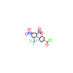 O=C(Cl)c1ccc(-c2c([N+](=O)[O-])cc([N+](=O)[O-])cc2C(F)(F)F)cc1